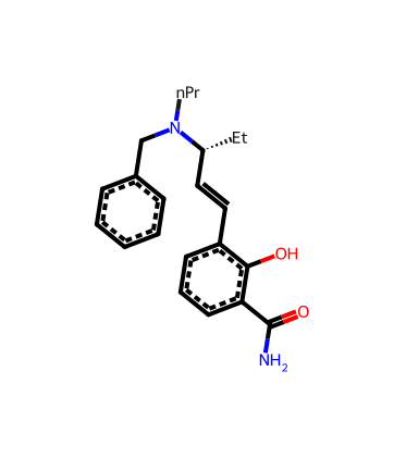 CCCN(Cc1ccccc1)[C@@H](/C=C/c1cccc(C(N)=O)c1O)CC